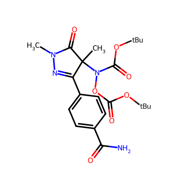 CN1N=C(c2ccc(C(N)=O)cc2)C(C)(N(OC(=O)OC(C)(C)C)C(=O)OC(C)(C)C)C1=O